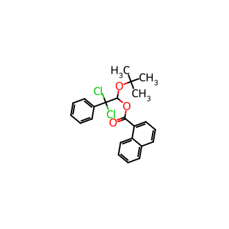 CC(C)(C)OC(OC(=O)c1cccc2ccccc12)C(Cl)(Cl)c1ccccc1